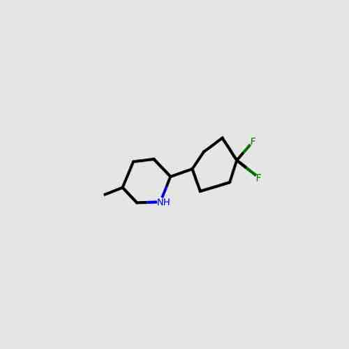 CC1CCC(C2CCC(F)(F)CC2)NC1